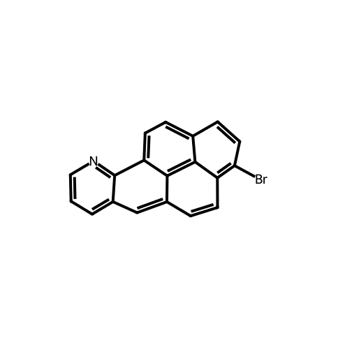 Brc1ccc2ccc3c4ncccc4cc4ccc1c2c43